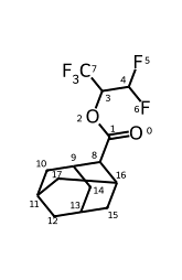 O=C(OC(C(F)F)C(F)(F)F)C1C2CC3CC(C2)CC1C3